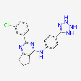 Clc1cccc(-c2nc3c(c(Nc4ccc(C5=NNNN5)cc4)n2)CCC3)c1